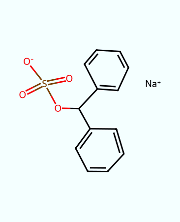 O=S(=O)([O-])OC(c1ccccc1)c1ccccc1.[Na+]